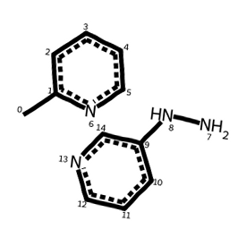 Cc1ccccn1.NNc1cccnc1